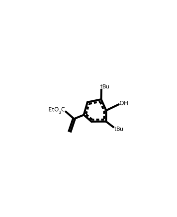 C=C(C(=O)OCC)c1cc(C(C)(C)C)c(O)c(C(C)(C)C)c1